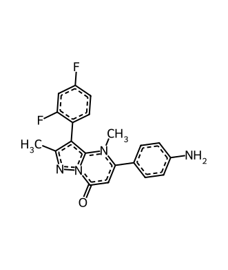 Cc1nn2c(=O)cc(-c3ccc(N)cc3)n(C)c2c1-c1ccc(F)cc1F